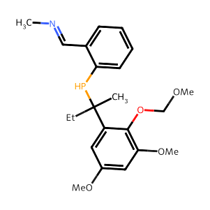 CCC(C)(Pc1ccccc1/C=N/C)c1cc(OC)cc(OC)c1OCOC